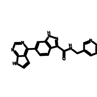 O=C(NCc1cccnc1)c1n[nH]c2cc(-c3ncnc4[nH]ccc34)ccc12